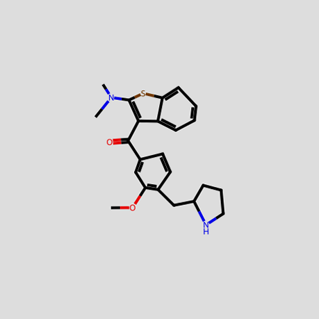 COc1cc(C(=O)c2c(N(C)C)sc3ccccc23)ccc1CC1CCCN1